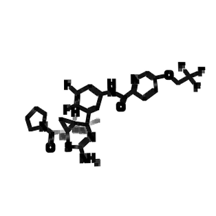 C[C@]1(c2cc(NC(=O)c3ccc(OCC(F)(F)F)cn3)cc(F)c2F)N=C(N)S[C@@]2(C(=O)N3CCCC3)C[C@H]21